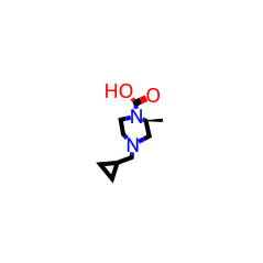 C[C@H]1CN(CC2CC2)CCN1C(=O)O